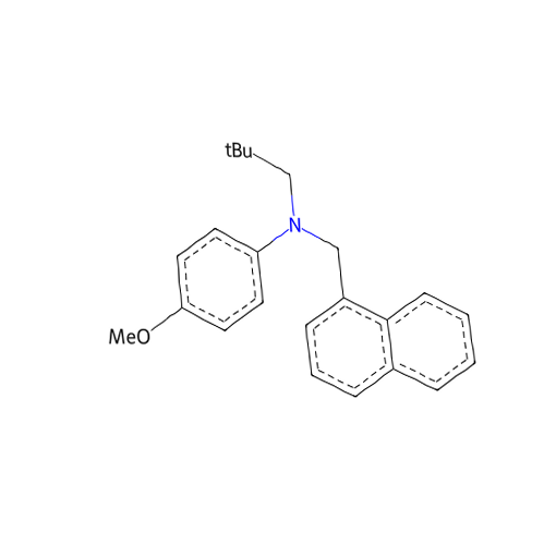 COc1ccc(N(Cc2cccc3ccccc23)CC(C)(C)C)cc1